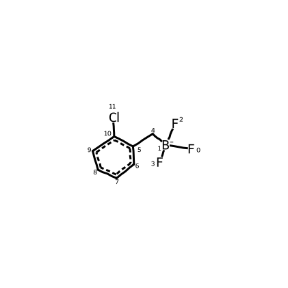 F[B-](F)(F)Cc1ccccc1Cl